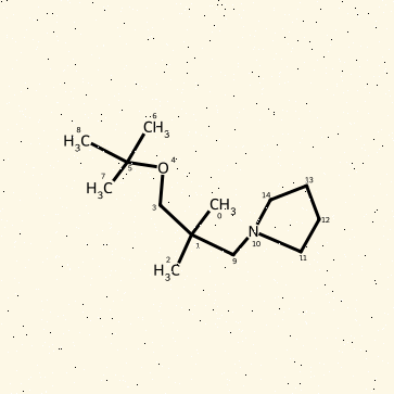 CC(C)(COC(C)(C)C)CN1CCCC1